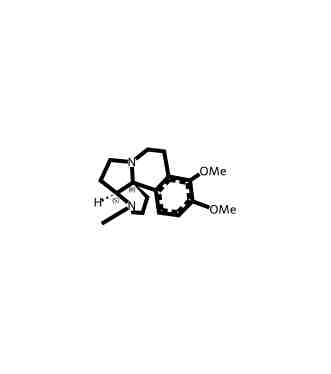 COc1ccc2c(c1OC)CCN1CC[C@@H]3N(C)CCC[C@@]231